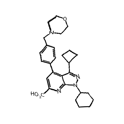 O=C(O)c1cc(-c2ccc(CN3CCOCC3)cc2)c2c(C3CCC3)nn(C3CCCCC3)c2n1